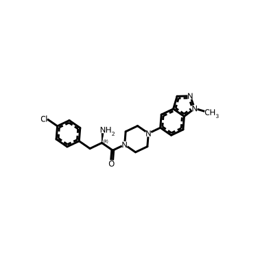 Cn1ncc2cc(N3CCN(C(=O)[C@H](N)Cc4ccc(Cl)cc4)CC3)ccc21